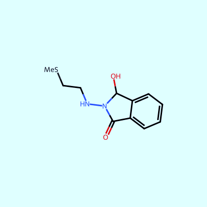 CSCCNN1C(=O)c2ccccc2C1O